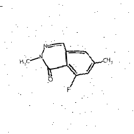 Cc1cc(F)c2c(=O)n(C)ncc2c1